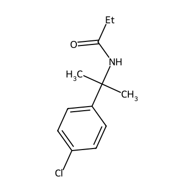 CCC(=O)NC(C)(C)c1ccc(Cl)cc1